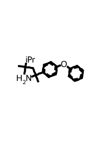 CC(C)C(C)(C)CC(C)(N)c1ccc(Oc2ccccc2)cc1